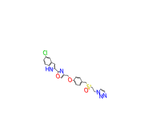 [O-][S+](CCn1ccnn1)Cc1ccc(OCc2coc(-c3cc4cc(Cl)ccc4[nH]3)n2)cc1